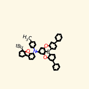 Cc1ccc(N(c2cc3c4c(c2)Oc2cc(-c5ccccc5)ccc2B4c2ccc(-c4ccccc4)cc2O3)c2cccc3c2oc2c(C(C)(C)C)cccc23)cc1